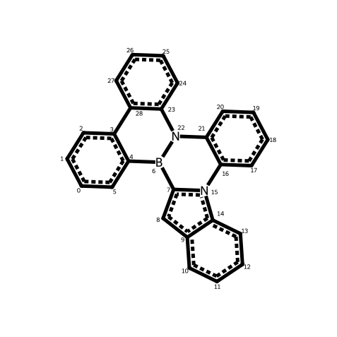 c1ccc2c(c1)B1c3cc4ccccc4n3-c3ccccc3N1c1ccccc1-2